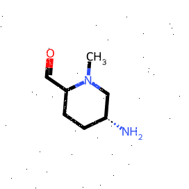 CN1C[C@H](N)CCC1C=O